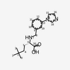 CC(C)(C)CC[C@H](NCc1cccc(-n2ccnc2)c1)C(=O)O